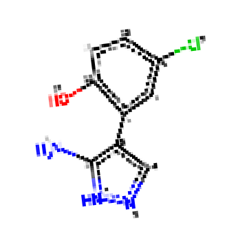 Nc1[nH]ncc1-c1cc(Cl)ccc1O